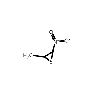 CC1SC1[N+](=O)[O-]